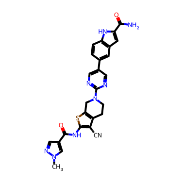 Cn1cc(C(=O)Nc2sc3c(c2C#N)CCN(c2ncc(-c4ccc5[nH]c(C(N)=O)cc5c4)cn2)C3)cn1